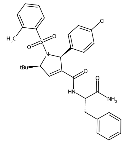 Cc1ccccc1S(=O)(=O)N1[C@@H](c2ccc(Cl)cc2)C(C(=O)N[C@@H](Cc2ccccc2)C(N)=O)=C[C@H]1C(C)(C)C